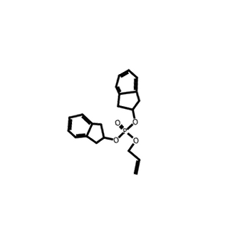 C=CCOP(=O)(OC1Cc2ccccc2C1)OC1Cc2ccccc2C1